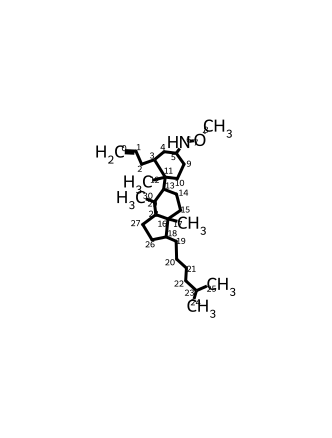 C=CCC1CC(NOC)CCC1(C)C1CCC2(C)C(CCCCC(C)C)CCC2C1C